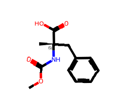 COC(=O)N[C@@](C)(Cc1ccccc1)C(=O)O